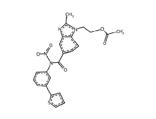 CC(=O)OCCn1c(C)nc2cc(C(=O)N(c3cccc(-c4cccs4)c3)[N+](=O)[O-])ccc21